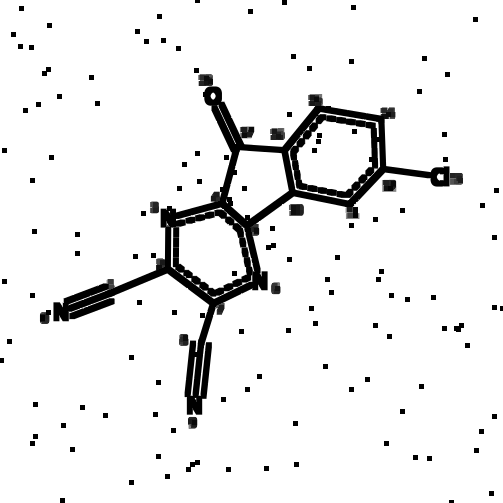 N#Cc1nc2c(nc1C#N)-c1cc(Cl)ccc1C2=O